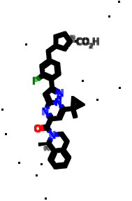 C[C@@H]1c2ccccc2CCN1C(=O)c1cc(C2(C)CC2)n2nc(-c3ccc(CC4CC[C@H](C(=O)O)C4)cc3F)cc2n1